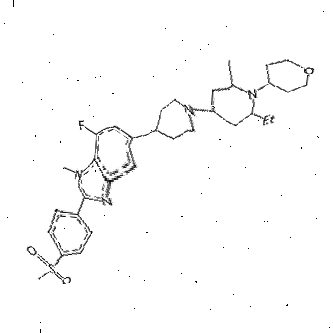 CCC1CC(N2CCC(c3cc(F)c4c(c3)nc(-c3ccc(S(C)(=O)=O)cc3)n4C)CC2)CC(C)N1C1CCOCC1